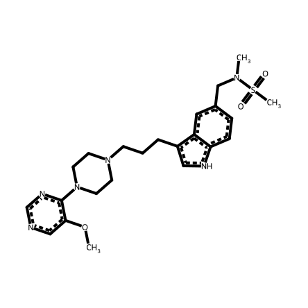 COc1cncnc1N1CCN(CCCc2c[nH]c3ccc(CN(C)S(C)(=O)=O)cc23)CC1